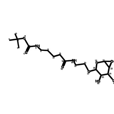 CC(C)(C)OC(=O)NCCCCC(=O)NCCOC1OC2OC2C(O)C1O